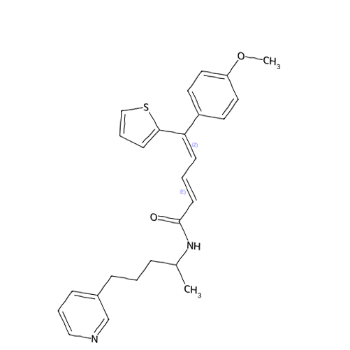 COc1ccc(/C(=C/C=C/C(=O)NC(C)CCCc2cccnc2)c2cccs2)cc1